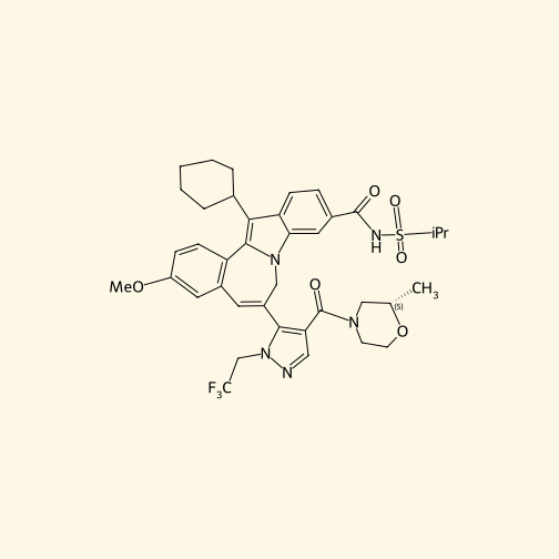 COc1ccc2c(c1)C=C(c1c(C(=O)N3CCO[C@@H](C)C3)cnn1CC(F)(F)F)Cn1c-2c(C2CCCCC2)c2ccc(C(=O)NS(=O)(=O)C(C)C)cc21